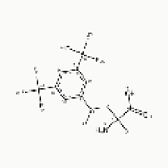 CC(CC(C)(N)C(=O)O)c1cc(C(F)(F)F)cc(C(F)(F)F)c1